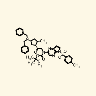 Cc1ccc(S(=O)(=O)n2ccc3nc(N(CC(=O)[C@H]4C[C@@H](N(Cc5ccccc5)Cc5ccccc5)C[C@H]4C)C(=O)OC(C)(C)C)cnc32)cc1